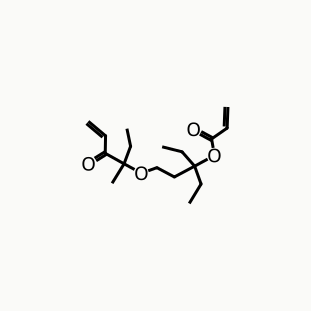 C=CC(=O)OC(CC)(CC)CCOC(C)(CC)C(=O)C=C